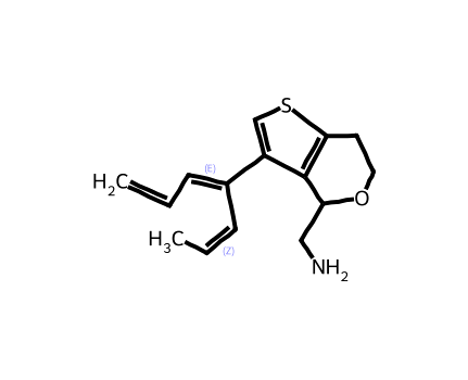 C=C/C=C(\C=C/C)c1csc2c1C(CN)OCC2